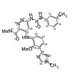 CNC(=O)c1nnc(NC(=O)Nc2cccc(C)c2)cc1Nc1cccc(-c2ncn(C)n2)c1OC